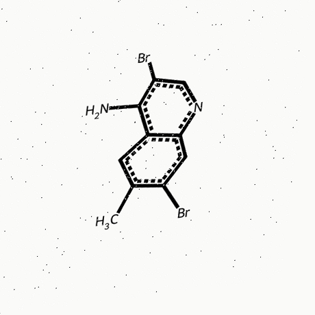 Cc1cc2c(N)c(Br)cnc2cc1Br